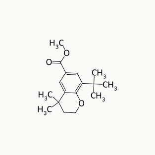 COC(=O)c1cc(C(C)(C)C)c2c(c1)C(C)(C)CCO2